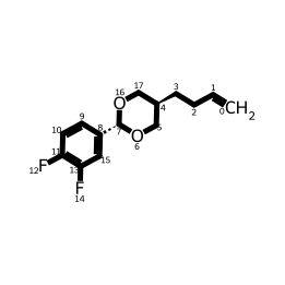 C=CCC[C@H]1CO[C@H](c2ccc(F)c(F)c2)OC1